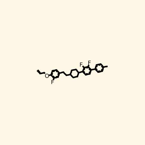 C=CCOc1ccc(CCC2CCC(c3ccc(-c4ccc(C)cc4)c(F)c3F)CC2)cc1F